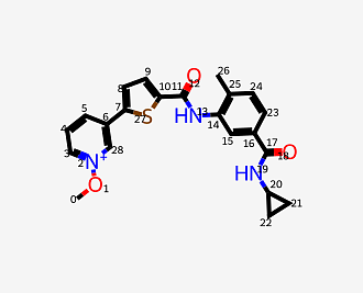 CO[n+]1cccc(-c2ccc(C(=O)Nc3cc(C(=O)NC4CC4)ccc3C)s2)c1